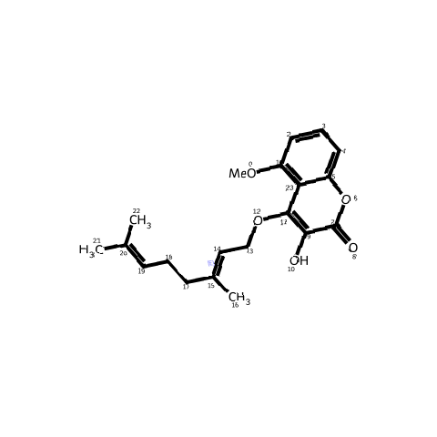 COc1cccc2oc(=O)c(O)c(OC/C=C(\C)CCC=C(C)C)c12